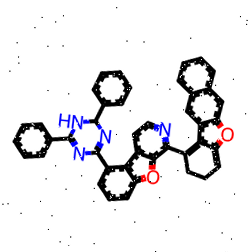 C1=c2oc3cc4ccccc4cc3c2=C(c2nccc3c2oc2cccc(C4=NC(c5ccccc5)NC(c5ccccc5)=N4)c23)CC1